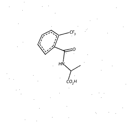 CC(NC(=O)c1ccccc1C(F)(F)F)C(=O)O